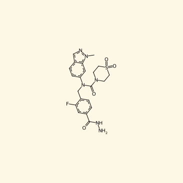 Cn1ncc2ccc(N(Cc3ccc(C(=O)NN)cc3F)C(=O)N3CCS(=O)(=O)CC3)cc21